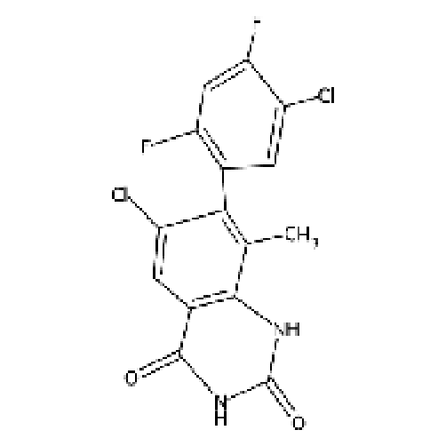 Cc1c(-c2cc(Cl)c(F)cc2F)c(Cl)cc2c(=O)[nH]c(=O)[nH]c12